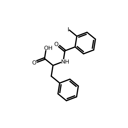 O=C(NC(Cc1ccccc1)C(=O)O)c1ccccc1I